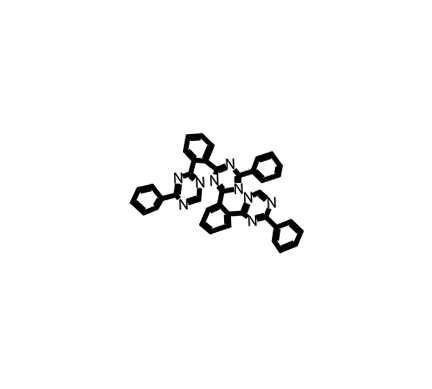 c1ccc(-c2ncnc(-c3ccccc3-c3nc(-c4ccccc4)nc(-c4ccccc4-c4ncnc(-c5ccccc5)n4)n3)n2)cc1